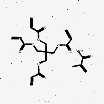 C=C(C)C(=O)OC.C=CC(=O)OCC(COC(=O)C=C)(COC(=O)C=C)COC(=O)C=C